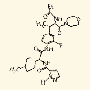 CCC(=O)N[C@@H](C(=O)N1CCOCC1)[C@@H](C)c1ccc(NC(=O)[C@@H](NC(=O)c2ccnn2CC)[C@H]2CC[C@H](C)CC2)c(F)c1